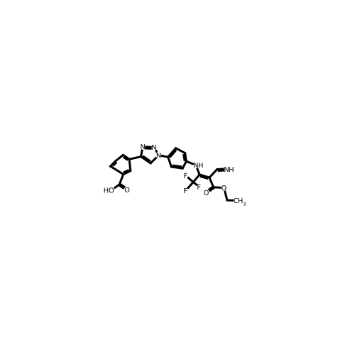 CCOC(=O)/C(C=N)=C(/Nc1ccc(-n2cc(-c3cccc(C(=O)O)c3)nn2)cc1)C(F)(F)F